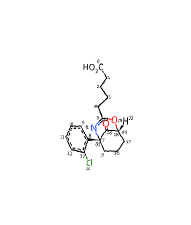 O=C(O)CCCCC1=N[C@@]2(c3ccccc3Cl)CCC[C@@H](O1)C2=O